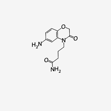 NC(=O)CCCN1C(=O)COc2ccc(N)cc21